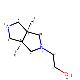 OCCN1C[C@H]2C[N]C[C@H]2C1